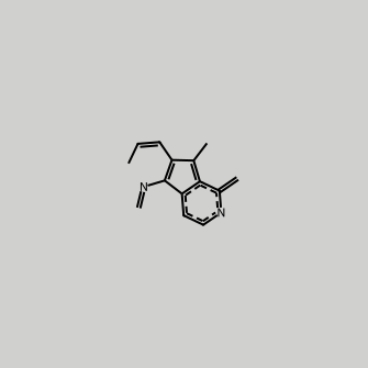 C=NC1=C(/C=C\C)C(C)=c2c1ccnc2=C